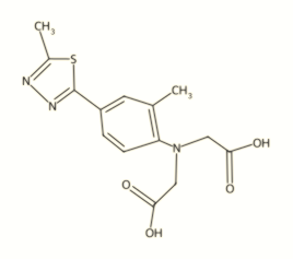 Cc1nnc(-c2ccc(N(CC(=O)O)CC(=O)O)c(C)c2)s1